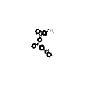 Cc1ccc2c(c1)c1ccccc1n2-c1ccc(N(c2ccccc2)c2ccc(-c3cn4ccccc4n3)cc2)cc1